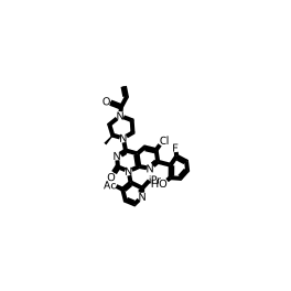 C=CC(=O)N1CCN(c2nc(=O)n(-c3c(C(C)=O)ccnc3C(C)C)c3nc(-c4c(O)cccc4F)c(Cl)cc23)[C@@H](C)C1